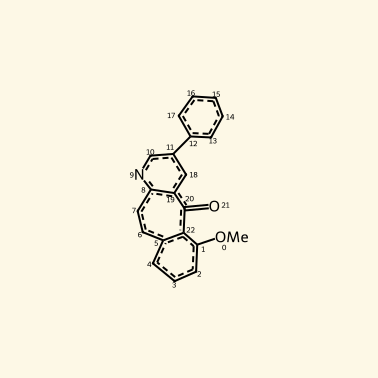 COc1cccc2ccc3ncc(-c4ccccc4)cc3c(=O)c12